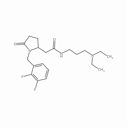 CCN(CC)CCCNC(=O)CC1CCC(=O)N1Cc1cccc(F)c1F